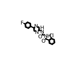 O=C(NC(=O)c1ccccc1Cl)Nc1cnc(-c2ccc(F)cc2)cn1